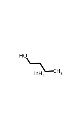 CCCCO.[InH3]